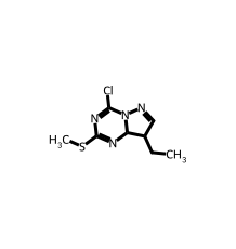 CCC1C=NN2C(Cl)=NC(SC)=NC12